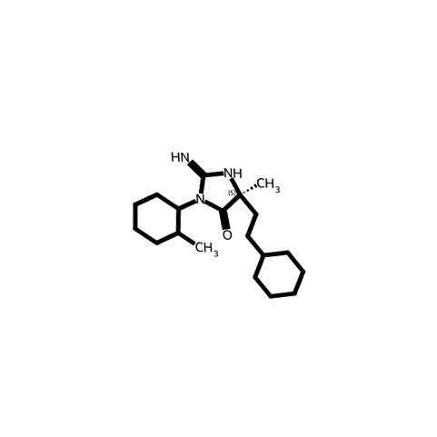 CC1CCCCC1N1C(=N)N[C@@](C)(CCC2CCCCC2)C1=O